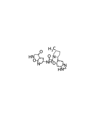 C[C@@H]1CC[C@@H](c2ccc3[nH]cnc3c2)N(C(=O)C(=O)Nc2cnc3c(c2)C(=O)CNO3)C1